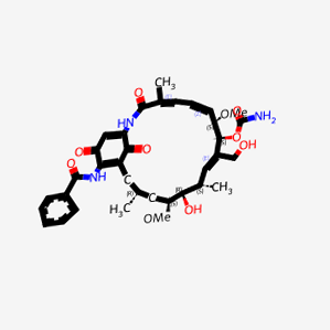 CO[C@H]1/C=C\C=C(/C)C(=O)NC2=CC(=O)C(NC(=O)c3ccccc3)=C(C[C@@H](C)C[C@H](OC)[C@H](O)[C@@H](C)/C=C(\CO)[C@@H]1OC(N)=O)C2=O